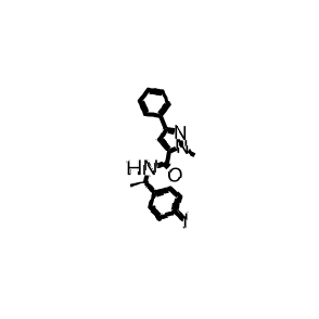 C[C@@H](NC(=O)c1cc(-c2ccccc2)nn1C)c1ccc(I)cc1